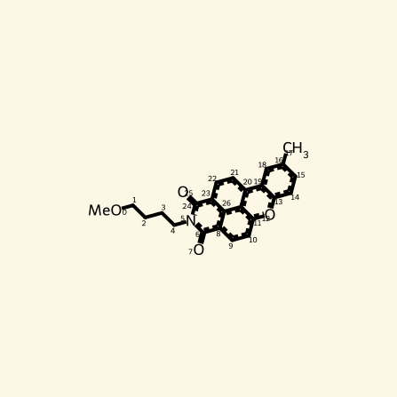 COCCCCn1c(=O)c2ccc3oc4ccc(C)cc4c4ccc(c1=O)c2c34